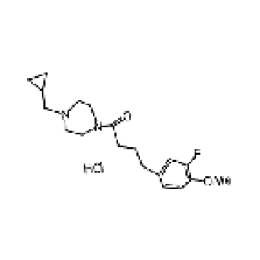 COc1ccc(CCCC(=O)N2CCN(CC3CC3)CC2)cc1F.Cl